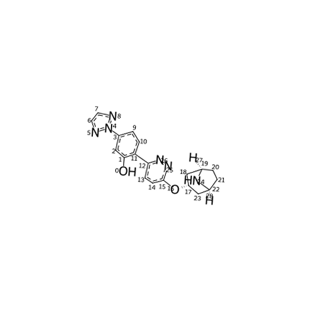 Oc1cc(-n2nccn2)ccc1-c1ccc(O[C@@H]2C[C@H]3CC[C@@H](C2)N3)nn1